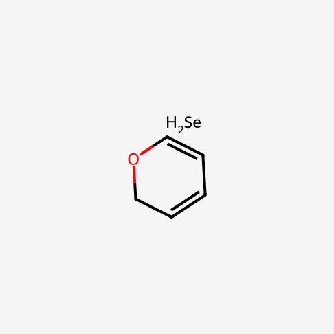 C1=CCOC=C1.[SeH2]